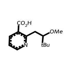 COC(Cc1ncccc1C(=O)O)C(C)(C)C